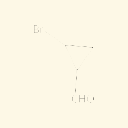 O=CC1CC1Br